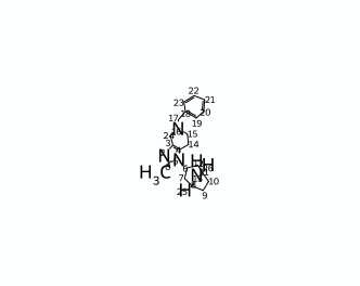 Cc1nc2c(n1[C@H]1C[C@H]3CC[C@@H](C1)N3)CCN(Cc1ccccc1)C2